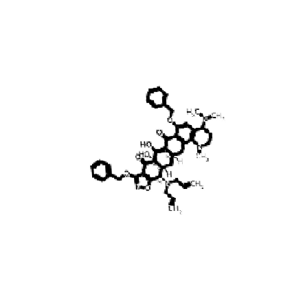 C=CCN(CC=C)[C@@H]1c2onc(OCc3ccccc3)c2C(=O)[C@@]2(O)C(O)=C3C(=O)c4c(OCc5ccccc5)cc5c(c4C[C@H]3C[C@@H]12)N(C)CCC5N(C)C